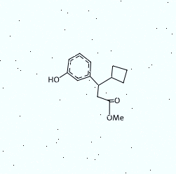 COC(=O)CC(c1cccc(O)c1)C1CCC1